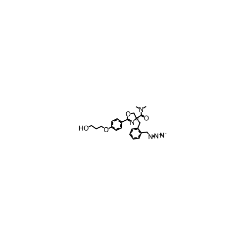 CN(C)C(=O)[C@@]1(Cc2ccccc2CN=[N+]=[N-])COC(c2ccc(OCCCO)cc2)=N1